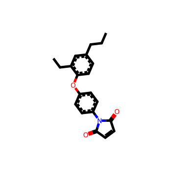 CCCc1ccc(Oc2ccc(N3C(=O)C=CC3=O)cc2)c(CC)c1